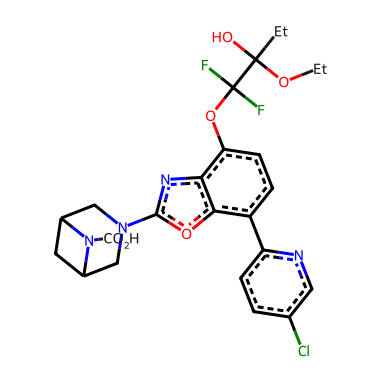 CCOC(O)(CC)C(F)(F)Oc1ccc(-c2ccc(Cl)cn2)c2oc(N3CC4CC(C3)N4C(=O)O)nc12